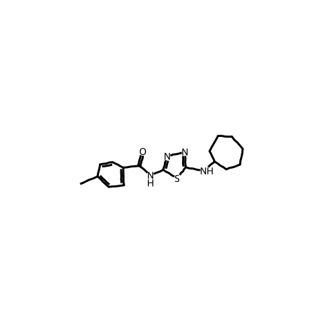 Cc1ccc(C(=O)Nc2nnc(NC3CCCCCC3)s2)cc1